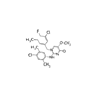 C=C/C=C(\C=C(\Cl)CF)Cn1cc(OC)c(=O)nc1Nc1cc(C)c(Cl)cc1C